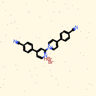 Br.N#Cc1ccc(-c2cc[n+](-c3cc(-c4ccc(C#N)cc4)ccn3)cc2)cc1.[Br-]